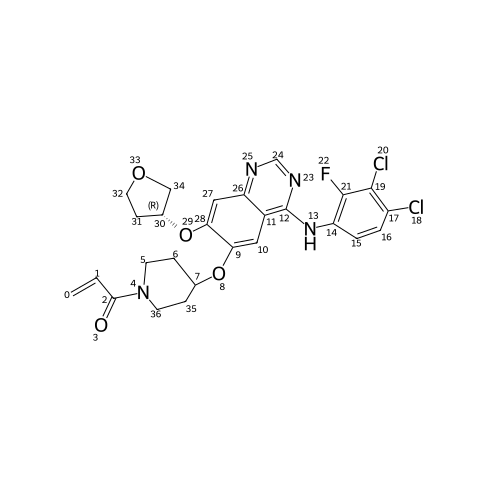 C=CC(=O)N1CCC(Oc2cc3c(Nc4ccc(Cl)c(Cl)c4F)ncnc3cc2O[C@@H]2CCOC2)CC1